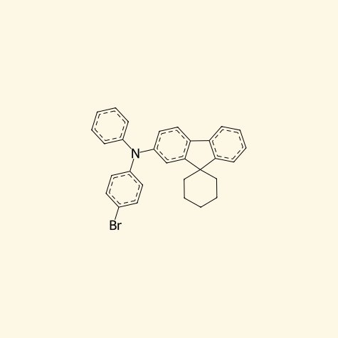 Brc1ccc(N(c2ccccc2)c2ccc3c(c2)C2(CCCCC2)c2ccccc2-3)cc1